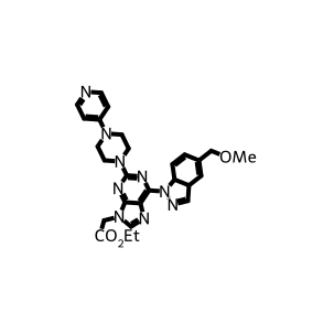 CCOC(=O)Cn1cnc2c(N3N=CC4C=C(COC)C=CC43)nc(N3CCN(c4ccncc4)CC3)nc21